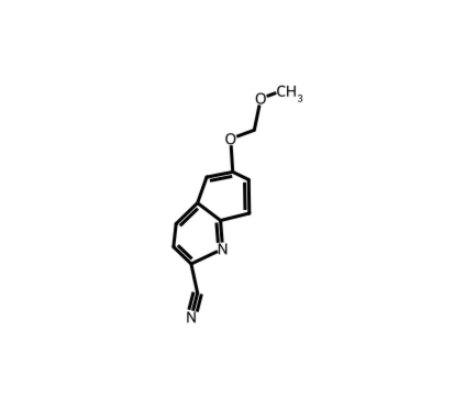 COCOc1ccc2nc(C#N)ccc2c1